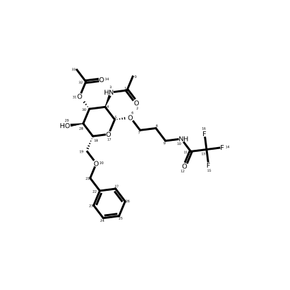 CC(=O)N[C@H]1[C@H](OCCCNC(=O)C(F)(F)F)O[C@H](COCc2ccccc2)[C@@H](O)[C@@H]1OC(C)=O